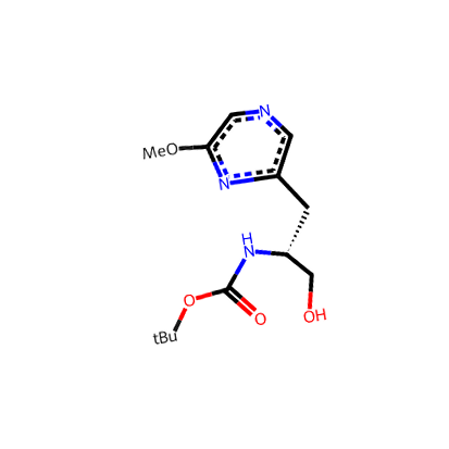 COc1cncc(C[C@H](CO)NC(=O)OC(C)(C)C)n1